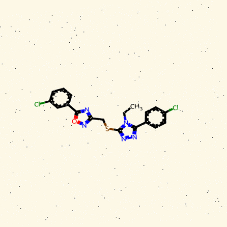 CCn1c(SCc2noc(-c3cccc(Cl)c3)n2)nnc1-c1ccc(Cl)cc1